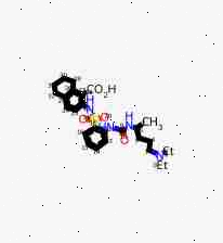 CCN(CC)CCCC(C)NC(=O)Nc1ccccc1S(=O)(=O)Nc1ccc2c(c1C(=O)O)CCCC2